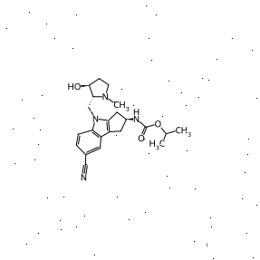 CC(C)OC(=O)N[C@H]1Cc2c(n(C[C@@H]3[C@@H](O)CCN3C)c3ccc(C#N)cc23)C1